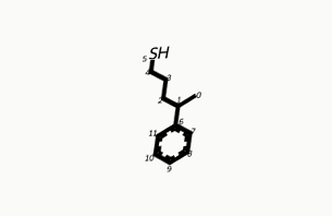 CC(CCCS)c1ccccc1